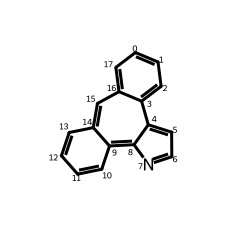 c1ccc2c3ccnc-3c3ccccc3cc2c1